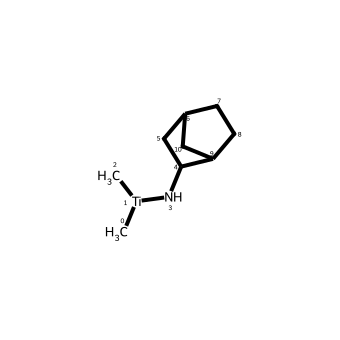 [CH3][Ti]([CH3])[NH]C1CC2CCC1C2